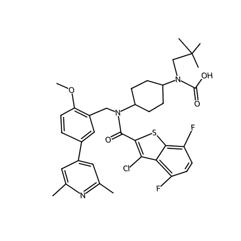 COc1ccc(-c2cc(C)nc(C)c2)cc1CN(C(=O)c1sc2c(F)ccc(F)c2c1Cl)C1CCC(N(CC(C)(C)C)C(=O)O)CC1